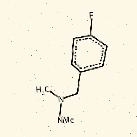 CNN(C)Cc1ccc(F)cc1